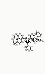 CC1(C)c2ccccc2-c2ccc(-c3cc(-c4ccc5ccc6cccc7ccc4c5c67)nc(-c4ccccc4)n3)cc21